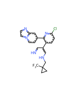 N=C/C(=C\NCC1(C(F)(F)F)CC1)c1ccc(Cl)nc1-c1ccn2ccnc2c1